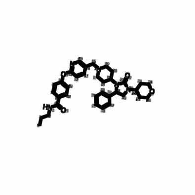 CCCNC(=O)c1ccc(Oc2ccc(CN3CCC(N4C(=O)N(C5CCOCC5)CC4c4ccccc4)CC3)cn2)cc1